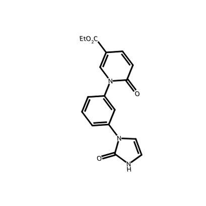 CCOC(=O)c1ccc(=O)n(-c2cccc(-n3cc[nH]c3=O)c2)c1